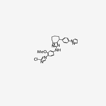 COc1cc(Nc2nc3n(n2)CCCCC3c2ccc(-n3cccn3)cc2)ccc1-n1cnc(Cl)c1